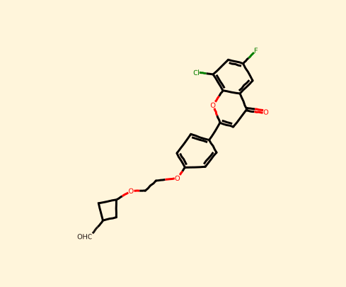 O=CC1CC(OCCOc2ccc(-c3cc(=O)c4cc(F)cc(Cl)c4o3)cc2)C1